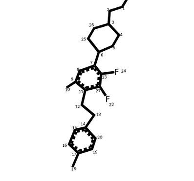 CCCC1CCC(c2cc(C)c(CCc3ccc(C)cc3)c(F)c2F)CC1